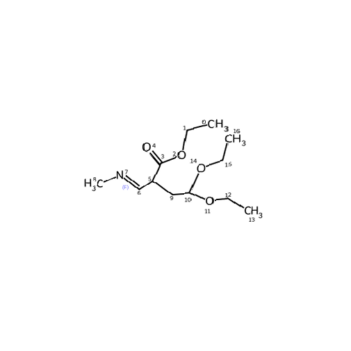 CCOC(=O)C(/C=N/C)CC(OCC)OCC